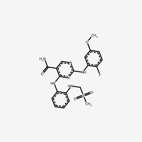 COc1ccc(F)c(Nc2ncc(C(N)=O)c(Nc3ccccc3NCS(C)(=O)=O)n2)c1